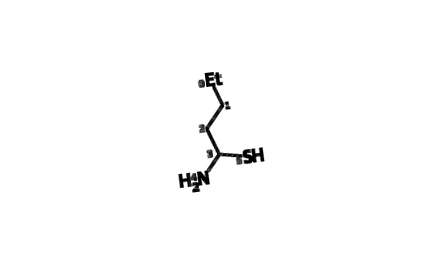 CCCCC(N)S